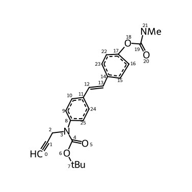 C#CCN(C(=O)OC(C)(C)C)c1ccc(/C=C/c2ccc(OC(=O)NC)cc2)cc1